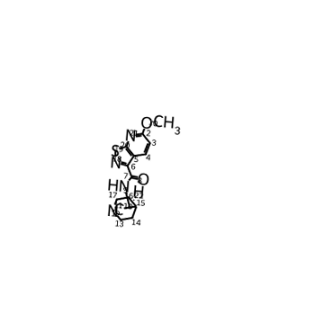 COc1ccc2c(C(=O)N[C@@H]3CN4CCC3CC4)nsc2n1